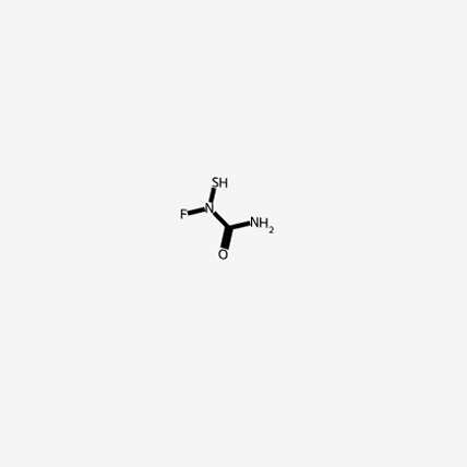 NC(=O)N(F)S